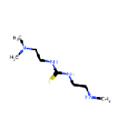 CNCCNC(=S)NCCN(C)C